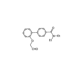 CCN(CC)C(=O)c1ccc(-c2ccccc2OCC=O)cc1